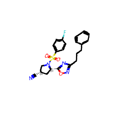 N#C[C@H]1C[C@@H](c2nc(CCCc3ccccc3)no2)N(S(=O)(=O)c2ccc(F)cc2)C1